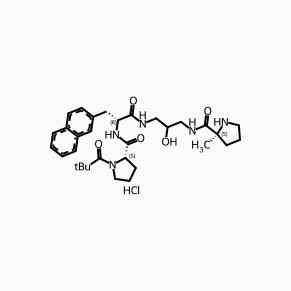 CC(C)(C)C(=O)N1CCC[C@H]1C(=O)N[C@H](Cc1ccc2ccccc2c1)C(=O)NCC(O)CNC(=O)[C@]1(C)CCCN1.Cl